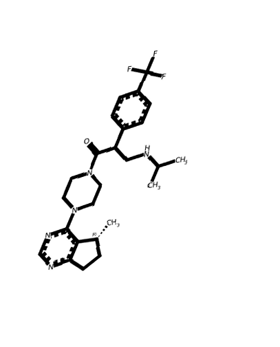 CC(C)NCC(C(=O)N1CCN(c2ncnc3c2[C@H](C)CC3)CC1)c1ccc(C(F)(F)F)cc1